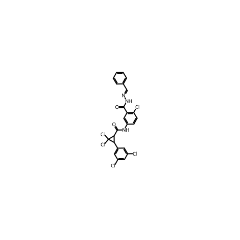 O=C(N/N=C/c1ccccc1)c1cc(NC(=O)C2C(c3cc(Cl)cc(Cl)c3)C2(Cl)Cl)ccc1Cl